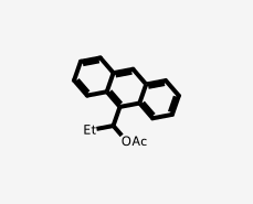 CCC(OC(C)=O)c1c2ccccc2cc2ccccc12